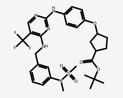 CN(c1cccc(CNc2nc(Nc3ccc(OC4CCC(C(=O)OC(C)(C)C)C4)cc3)ncc2C(F)(F)F)c1)S(C)(=O)=O